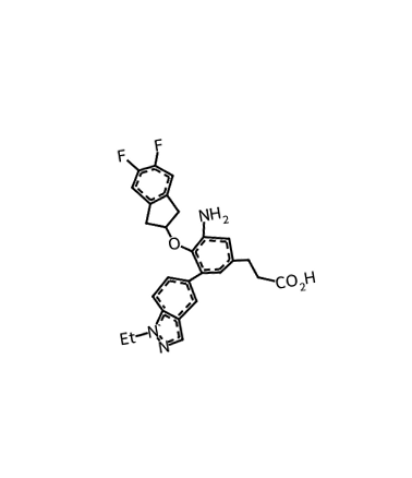 CCn1ncc2cc(-c3cc(CCC(=O)O)cc(N)c3OC3Cc4cc(F)c(F)cc4C3)ccc21